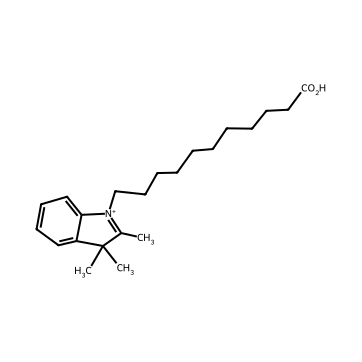 CC1=[N+](CCCCCCCCCCC(=O)O)c2ccccc2C1(C)C